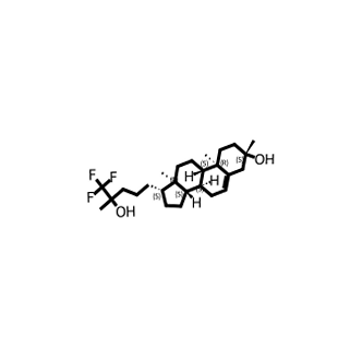 CC(O)(CCC[C@H]1CC[C@H]2[C@@H]3CC=C4C[C@@](C)(O)CC[C@]4(C)[C@H]3CC[C@]12C)C(F)(F)F